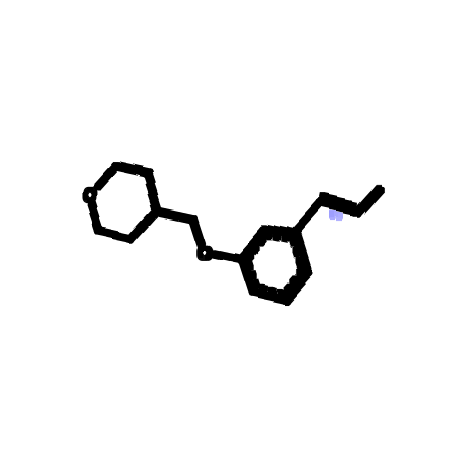 C/C=C/c1cccc(OCC2CCOCC2)c1